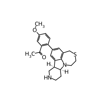 COc1ccc(-c2cc3c4c(c2)[C@@H]2CNCC[C@@H]2N4CCSC3)c(C(C)=O)c1